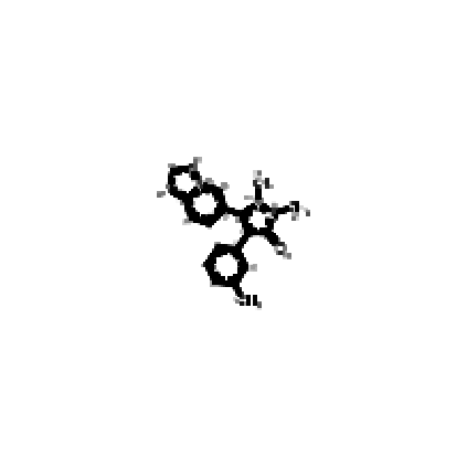 Cc1cccc(-c2c(-c3ccc4ncnn4c3)n(C)n(C)c2=O)c1